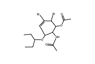 CCC(CC)OC1C=C(Br)C(Br)C(OC(C)=O)C1NC(C)=O